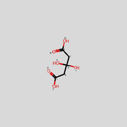 O=C(O)CC(O)(O)CC(=O)O